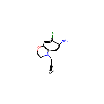 C#CCN1CCOc2cc(F)c(N)cc21